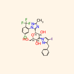 Cc1nc([C@@H]2O[C@H](CO)[C@H](O)[C@H](n3cc(I)c(Cc4ccccc4)n3)[C@H]2O)n(-c2cc(Cl)ccc2C(F)(F)F)n1